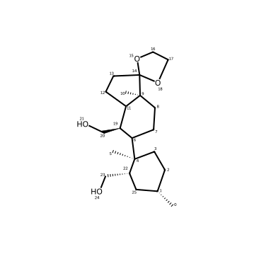 C[C@H]1CC[C@](C)(C2CC[C@@]3(C)C(CCC34OCCO4)[C@@H]2CO)[C@@H](CO)C1